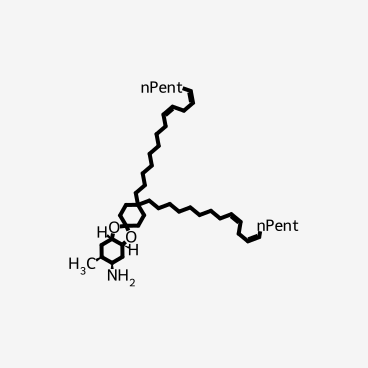 CCCCC/C=C\C/C=C\CCCCCCCCC1(CCCCCCCC/C=C\C/C=C\CCCCC)CCC2(CC1)O[C@H]1C[C@@H](N)[C@@H](C)C[C@@H]1O2